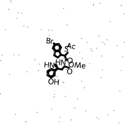 COC(=O)C(Cc1c[nH]c2ccc(O)cc12)NC(=O)C(CSC(C)=O)C1CCc2cc(Br)ccc21